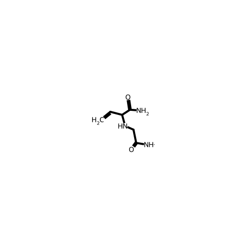 C=CC(NCC([NH])=O)C(N)=O